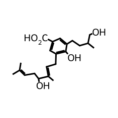 CC(C)=CCC(O)/C(C)=C/Cc1cc(C(=O)O)cc(CCC(C)CO)c1O